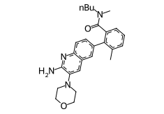 CCCCN(C)C(=O)c1cccc(C)c1-c1ccc2nc(N)c(N3CCOCC3)cc2c1